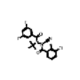 Cc1c(Cl)cccc1C(=O)N(C#N)N(C(=O)c1cc(F)cc(F)c1)C(C)(C)C